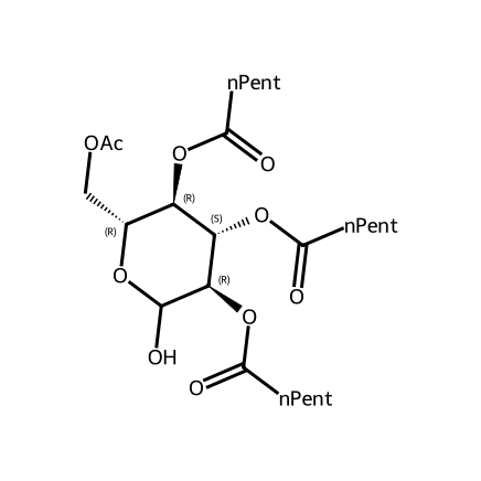 CCCCCC(=O)O[C@H]1[C@H](OC(=O)CCCCC)[C@@H](OC(=O)CCCCC)C(O)O[C@@H]1COC(C)=O